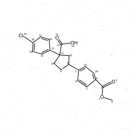 COC(=O)c1ccc(C2CCC(C(=O)O)(c3ccc(Cl)cc3)C2)cc1